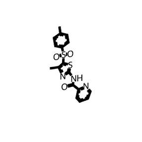 Cc1ccc(S(=O)(=O)c2sc(NC(=O)c3ccccn3)nc2C)cc1